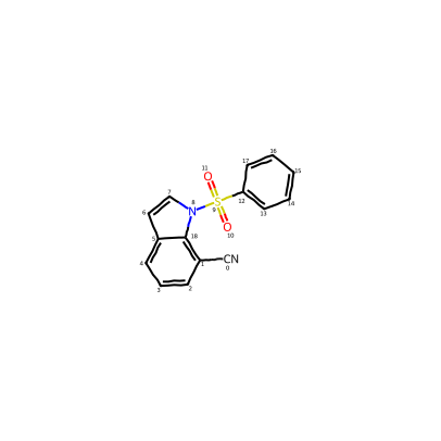 N#Cc1cccc2ccn(S(=O)(=O)c3ccccc3)c12